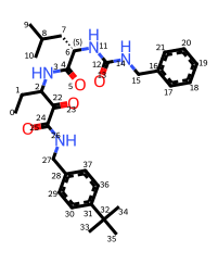 CCC(NC(=O)[C@H](CC(C)C)NC(=O)NCc1ccccc1)C(=O)C(=O)NCc1ccc(C(C)(C)C)cc1